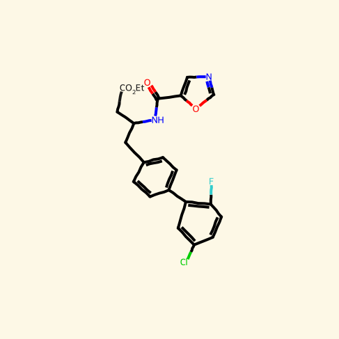 CCOC(=O)CC(Cc1ccc(-c2cc(Cl)ccc2F)cc1)NC(=O)c1cnco1